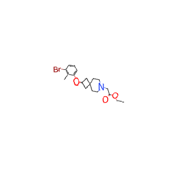 CCOC(=O)CN1CCC2(CC1)CC(Oc1cccc(Br)c1C)C2